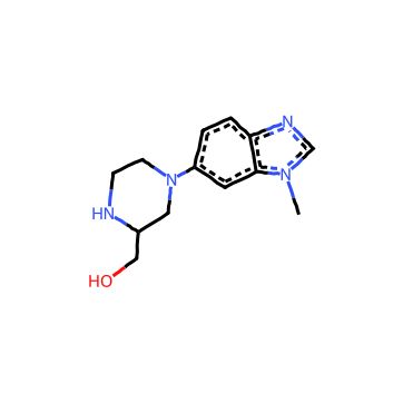 Cn1cnc2ccc(N3CCNC(CO)C3)cc21